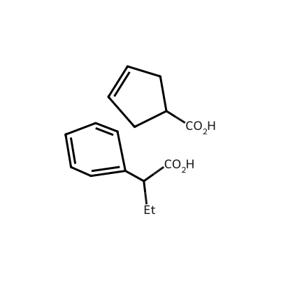 CCC(C(=O)O)c1ccccc1.O=C(O)C1CC=CC1